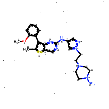 COc1ccccc1-c1c(C)sc2cnc(Nc3cnn(CCN4CCN(N)CC4)c3)nc12